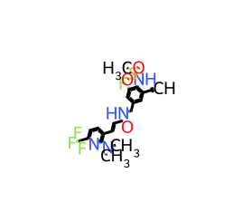 C#Cc1cc(CNC(=O)/C=C/c2ccc(C(F)(F)F)nc2N(C)C)cc(F)c1NS(C)(=O)=O